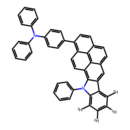 [2H]c1c([2H])c([2H])c2c(c1[2H])c1cc3ccc4ccc(-c5ccc(N(c6ccccc6)c6ccccc6)cc5)c5ccc(c3c45)c1n2-c1ccccc1